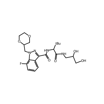 CC(C)(C)C(NC(=O)c1nn(CC2COCCO2)c2c(F)cccc12)C(=O)NCC(O)CO